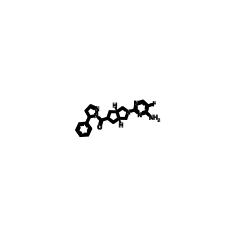 Nc1nc(N2C[C@H]3CC(C(=O)N4N=CCC4c4ccccc4)C[C@H]3C2)ncc1F